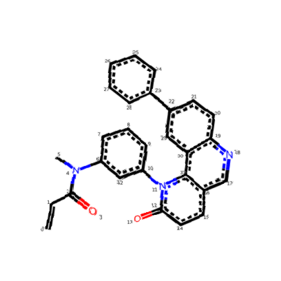 C=CC(=O)N(C)c1cccc(-n2c(=O)ccc3cnc4ccc(-c5ccccc5)cc4c32)c1